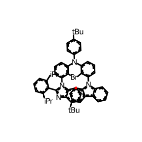 Cc1c(N(c2ccc(C(C)(C)C)cc2)c2cccc(-n3c(-c4c(C(C)C)cccc4C(C)C)nc4c(C(C)(C)C)cccc43)c2Br)cccc1-n1c2ccccc2c2ccccc21